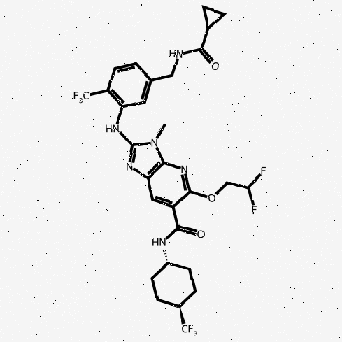 Cn1c(Nc2cc(CNC(=O)C3CC3)ccc2C(F)(F)F)nc2cc(C(=O)N[C@H]3CC[C@H](C(F)(F)F)CC3)c(OCC(F)F)nc21